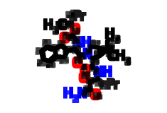 CCCC(NC(=O)[C@@H]1C2C(CN1C(=O)[C@@H](NC(=O)O[C@H](C)C(C)C)C1Cc3ccccc3C1)C2(C)C)C(=O)C(N)=O